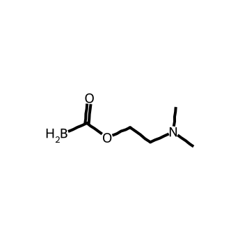 BC(=O)OCCN(C)C